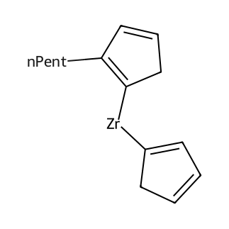 CCCCCC1=[C]([Zr][C]2=CC=CC2)CC=C1